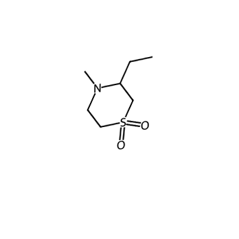 CCC1CS(=O)(=O)CCN1C